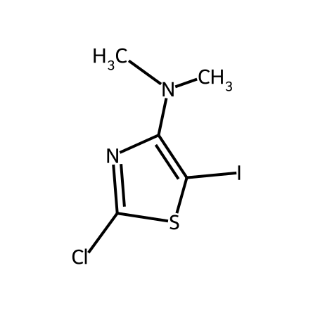 CN(C)c1nc(Cl)sc1I